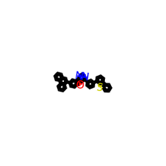 c1cc(-c2ncnc3c2oc2ccc(-c4cc5ccccc5c5ccccc45)cc23)cc(-c2cccc3c2sc2ccccc23)c1